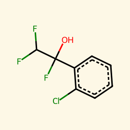 OC(F)(c1ccccc1Cl)C(F)F